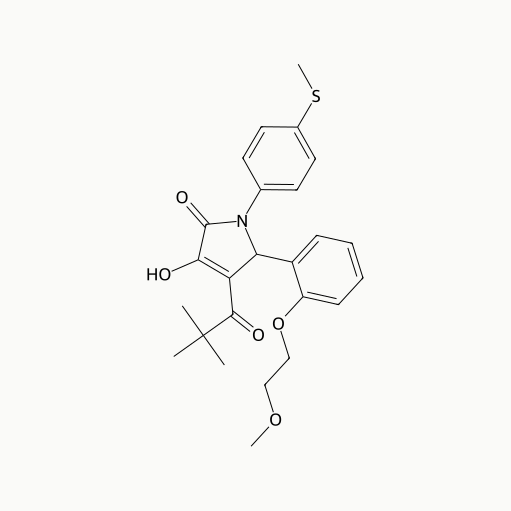 COCCOc1ccccc1C1C(C(=O)C(C)(C)C)=C(O)C(=O)N1c1ccc(SC)cc1